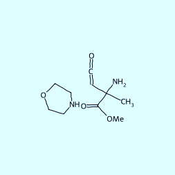 C1COCCN1.COC(=O)C(C)(N)C=C=O